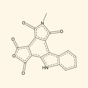 Cn1c(=O)c2c3c(=O)oc(=O)c3c3[nH]c4ccccc4c3c2c1=O